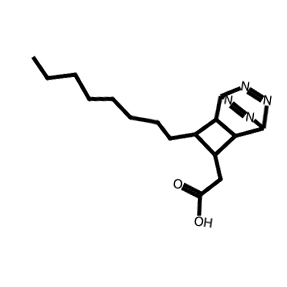 CCCCCCCCC1C(CC(=O)O)C2C3N=NC(N=N3)C12